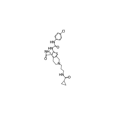 NC(=O)c1c(NC(=O)Nc2ccc(Cl)cc2)sc2c1CCN(CCCNC(=O)C1CC1)C2